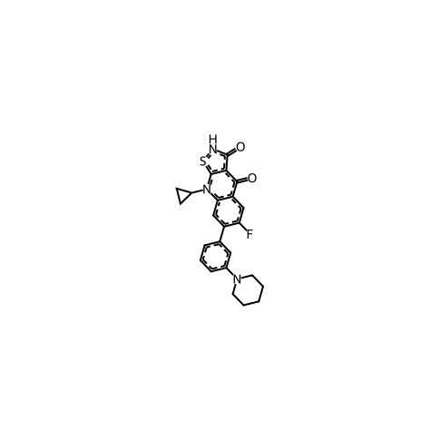 O=c1[nH]sc2c1c(=O)c1cc(F)c(-c3cccc(N4CCCCC4)c3)cc1n2C1CC1